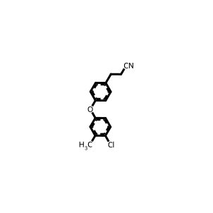 Cc1cc(Oc2ccc(CCC#N)cc2)ccc1Cl